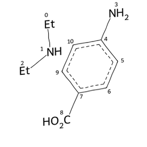 CCNCC.Nc1ccc(C(=O)O)cc1